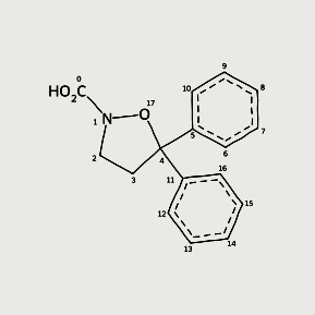 O=C(O)N1CCC(c2ccccc2)(c2ccccc2)O1